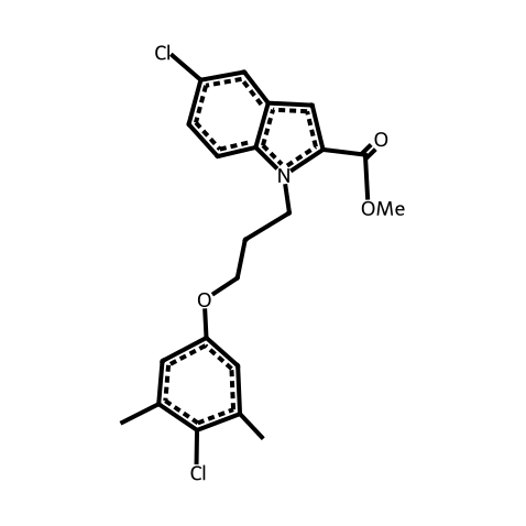 COC(=O)c1cc2cc(Cl)ccc2n1CCCOc1cc(C)c(Cl)c(C)c1